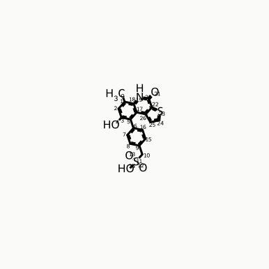 Cc1cc(O)c(-c2ccc(CS(=O)(=O)O)cc2)c2c1[nH]c(=O)c1sccc12